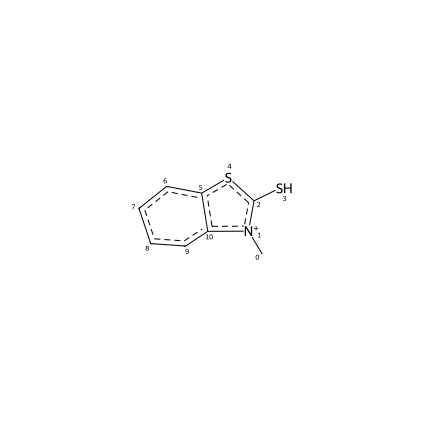 C[n+]1c(S)sc2ccccc21